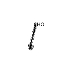 CS(=O)(=O)OCCCCCCCCCCCCCCC[C]=O